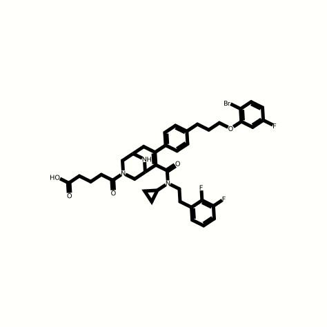 O=C(O)CCCC(=O)N1CC2CC(c3ccc(CCCOc4cc(F)ccc4Br)cc3)=C(C(=O)N(CCc3cccc(F)c3F)C3CC3)C(C1)N2